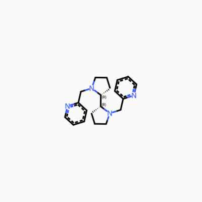 c1ccc(CN2CCC[C@@H]2[C@H]2CCCN2Cc2ccccn2)nc1